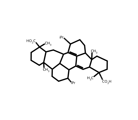 CC(C)C1CCC2C3=C1C1CC4C(C)(C(=O)O)CCCC4(C)C4CCC(C(C)C)C(C3=CC3C(C)(C(=O)O)CCCC23C)C14